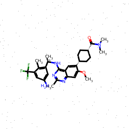 COc1cc2nc(C)nc(N[C@H](C)c3cc(N)cc(C(F)(F)F)c3C)c2cc1[C@H]1CC[C@@H](C(=O)N(C)C)CC1